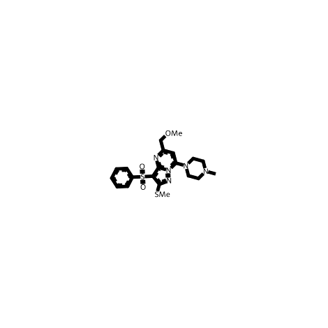 COCc1cc(N2CCN(C)CC2)n2nc(SC)c(S(=O)(=O)c3ccccc3)c2n1